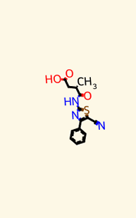 C[C@H](CC(=O)O)C(=O)Nc1nc(-c2ccccc2)c(C#N)s1